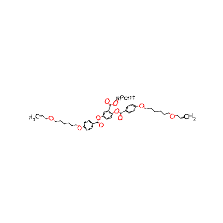 C=CCOCCCCCCOc1ccc(C(=O)Oc2ccc(OC(=O)c3ccc(OCCCCCCOCC=C)cc3)c(C(=O)OCCCCC)c2)cc1